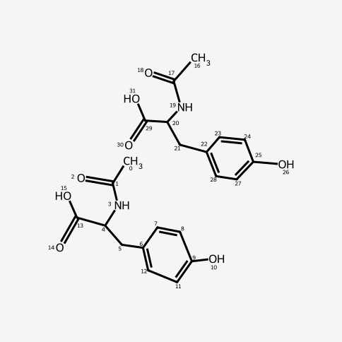 CC(=O)NC(Cc1ccc(O)cc1)C(=O)O.CC(=O)NC(Cc1ccc(O)cc1)C(=O)O